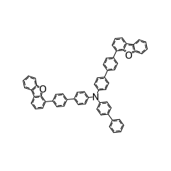 c1ccc(-c2ccc(N(c3ccc(-c4ccc(-c5cccc6c5oc5ccccc56)cc4)cc3)c3ccc(-c4ccc(-c5cccc6c5oc5ccccc56)cc4)cc3)cc2)cc1